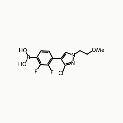 COCCn1cc(-c2ccc(B(O)O)c(F)c2F)c(Cl)n1